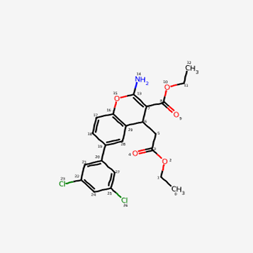 CCOC(=O)CC1C(C(=O)OCC)=C(N)Oc2ccc(-c3cc(Cl)cc(Cl)c3)cc21